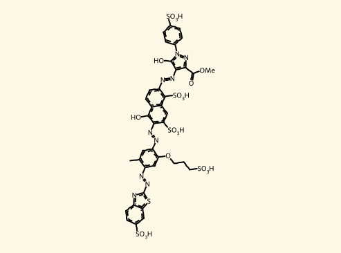 COC(=O)c1nn(-c2ccc(S(=O)(=O)O)cc2)c(O)c1N=Nc1ccc2c(O)c(N=Nc3cc(C)c(N=Nc4nc5ccc(S(=O)(=O)O)cc5s4)cc3OCCCS(=O)(=O)O)c(S(=O)(=O)O)cc2c1S(=O)(=O)O